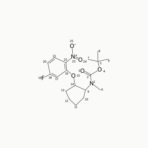 CN(C(=O)OC(C)(C)C)C1CCCCC1Oc1cc(F)ccc1[N+](=O)[O-]